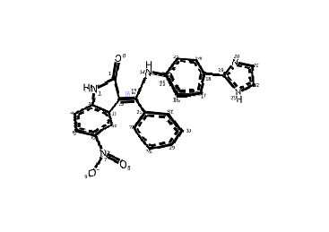 O=C1Nc2ccc([N+](=O)[O-])cc2/C1=C(/Nc1ccc(-c2ncc[nH]2)cc1)c1ccccc1